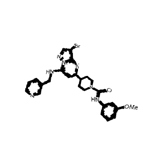 COc1cccc(NC(=O)N2CCC(c3cc(NCc4cccnc4)n4ncc(Br)c4n3)CC2)c1